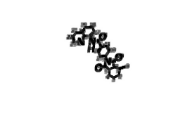 C=C1CCCC2C(=O)N(c3ccc(C(=O)Nc4cccc5cccnc45)cc3)C(=O)C12